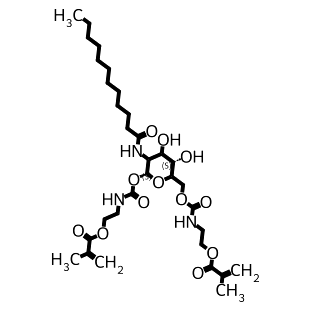 C=C(C)C(=O)OCCNC(=O)OCC1O[C@@H](OC(=O)NCCOC(=O)C(=C)C)C(NC(=O)CCCCCCCCCCC)C(O)[C@@H]1O